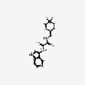 O=C(NCC1CCC(F)(F)CC1)C(=O)Nc1c[nH]c2ccncc12